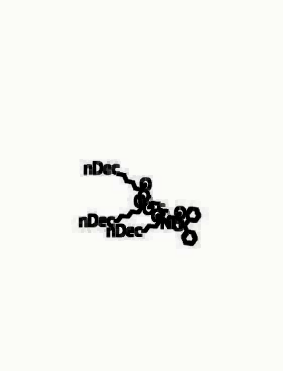 CCCCCCCCCCCCCCCC(=O)OC[C@H](CSC[C@@H](NC(=O)CCCCCCCCCCCCC)C(=O)OC(c1ccccc1)c1ccccc1)OC(=O)CCCCCCCCCCCCCCC